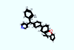 CC1(C)c2ccccc2Oc2ccc(-c3ccc(C(c4ccccc4)c4ccncc4)cc3)cc21